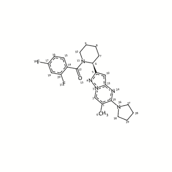 Cc1cn2nc([C@@H]3CCCCN3C(=O)c3ccc(F)cc3F)cc2nc1N1CCCC1